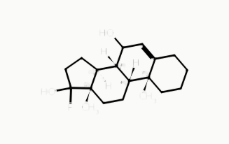 C[C@]12CCCCC1=CC(O)[C@@H]1[C@H]2CC[C@@]2(C)[C@H]1CCC2(O)F